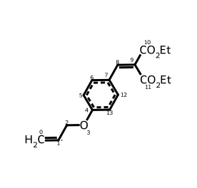 C=[C]COc1ccc(C=C(C(=O)OCC)C(=O)OCC)cc1